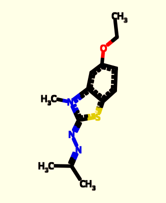 CCOc1ccc2s/c(=N\N=C(C)C)n(C)c2c1